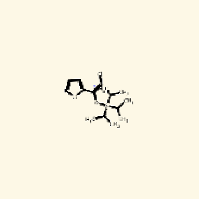 CC(C)[Si](O/C(=C/Cl)c1ccco1)(C(C)C)C(C)C